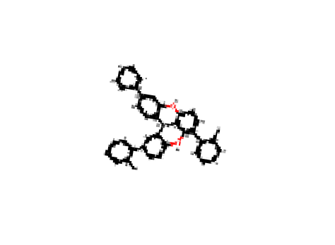 Cc1ccccc1-c1ccc2c(c1)B1c3ccc(-c4ccccc4)cc3Oc3ccc(-c4ccccc4C)c(c31)O2